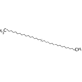 CCCCCCCCCCCCCCCCC[CH][CH]CCCCCCCCCCCCCCCCC